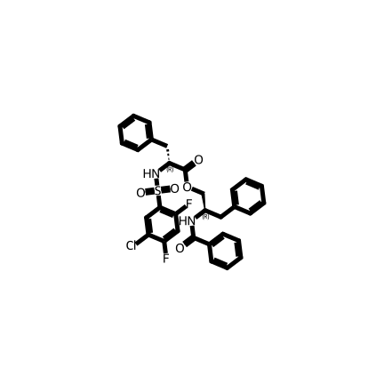 O=C(N[C@@H](COC(=O)[C@@H](Cc1ccccc1)NS(=O)(=O)c1cc(Cl)c(F)cc1F)Cc1ccccc1)c1ccccc1